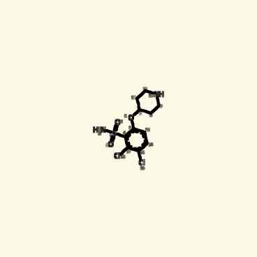 NS(=O)(=O)c1c(OC2CCNCC2)ccc(Cl)c1Cl